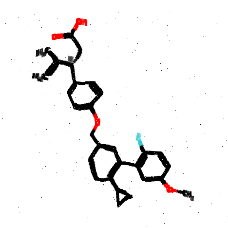 C=C(C)[C@H](CC(=O)O)c1ccc(OCc2ccc(C3CC3)c(-c3cc(OC)ccc3F)c2)cc1